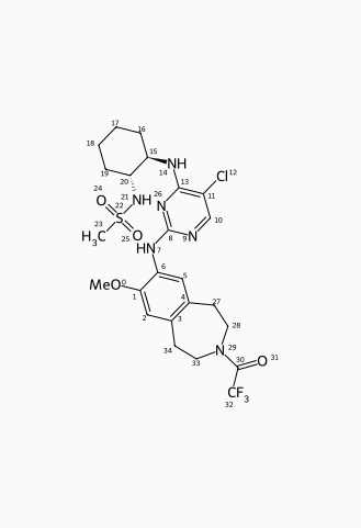 COc1cc2c(cc1Nc1ncc(Cl)c(N[C@@H]3CCCC[C@H]3NS(C)(=O)=O)n1)CCN(C(=O)C(F)(F)F)CC2